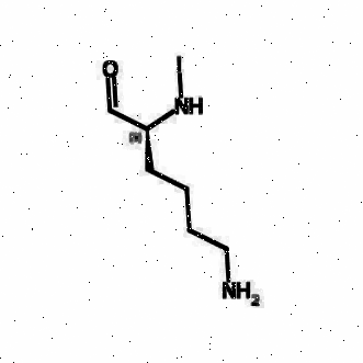 NCCCC[C@@H](C=O)NI